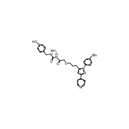 CC(C)(C)c1ccc(-n2nc(-c3ccncc3)cc2CCCOCC(=O)NC(=O)[C@@H](N)Cc2ccc(O)cc2)cc1